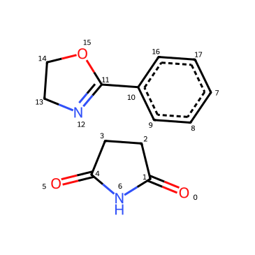 O=C1CCC(=O)N1.c1ccc(C2=NCCO2)cc1